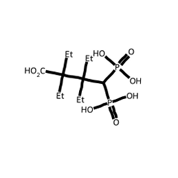 CCC(CC)(C(=O)O)C(CC)(CC)C(P(=O)(O)O)P(=O)(O)O